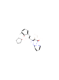 Cc1cccc(/C=C/c2nc3ccccn3c(=O)c2Br)c1OC1CCCC1